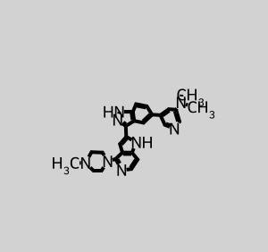 CN1CCN(c2nccc3[nH]c(-c4n[nH]c5ccc(-c6cncc(N(C)C)c6)cc45)cc23)CC1